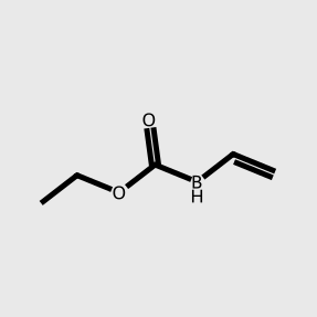 C=CBC(=O)OCC